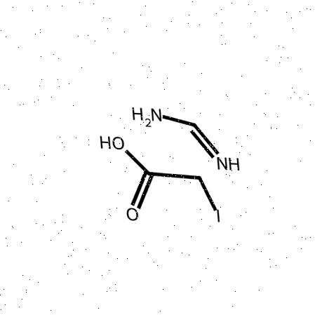 N=CN.O=C(O)CI